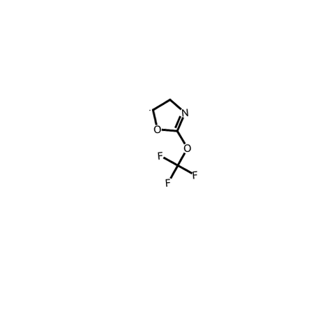 FC(F)(F)OC1=NC[CH]O1